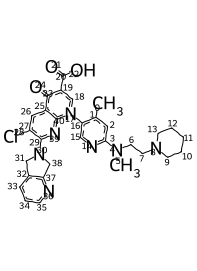 Cc1cc(N(C)CCN2CCCCC2)ncc1-n1cc(C(=O)O)c(=O)c2cc(Cl)c(N3Cc4cccnc4C3)nc21